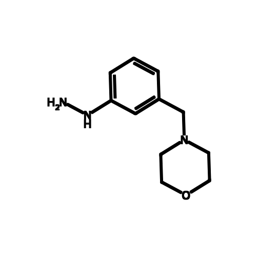 NNc1cccc(CN2CCOCC2)c1